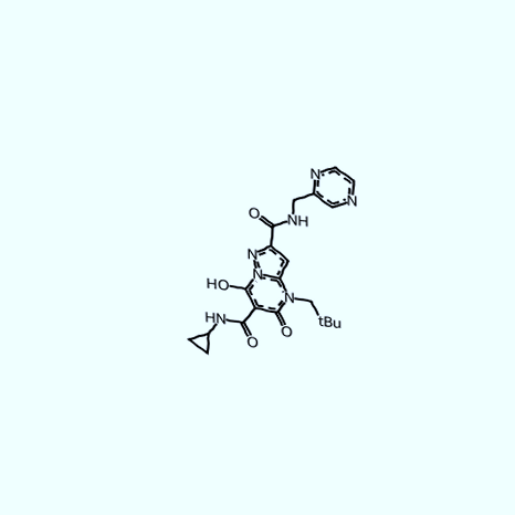 CC(C)(C)Cn1c(=O)c(C(=O)NC2CC2)c(O)n2nc(C(=O)NCc3cnccn3)cc12